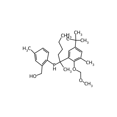 CCCCC(C)(Pc1ccc(C)cc1CO)c1cc(C(C)(C)C)cc(C)c1OCOC